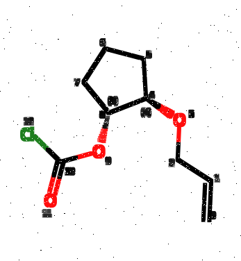 C=CCO[C@@H]1CCC[C@H]1OC(=O)Cl